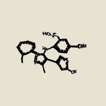 COc1ccc(Nc2c(-c3csc(C#N)c3)c(C)nn2-c2ccccc2C)c(C(=O)O)c1